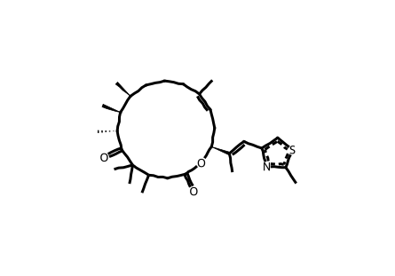 C/C1=C/C[C@@H](/C(C)=C/c2csc(C)n2)OC(=O)CC(C)C(C)(C)C(=O)[C@H](C)[C@@H](C)[C@@H](C)CCC1